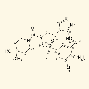 CC1(C)CCN(C(=O)C(CCn2ccnc2[N+](=O)[O-])NS(=O)(=O)c2cc(Cl)c(N)c(Cl)c2)CC1